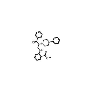 COC(=O)c1ccccc1NCC(C(=O)c1ccccc1)N1CCN(c2ccccc2)CC1